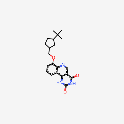 CC(C)(C)C1CCC(COc2cccc3c2ncc2c(=O)[nH]c(=O)[nH]c23)C1